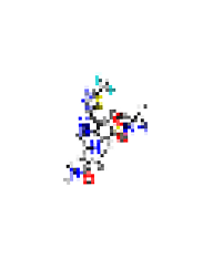 CN(C)C(=O)C1CCN(c2cc(S(=O)(=O)NC3(C#N)CC3)cc3c(-c4nnc(C(F)F)s4)nn(C)c23)CC1